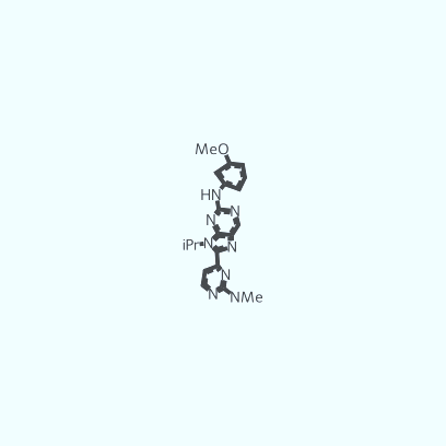 CNc1nccc(-c2nc3cnc(Nc4cccc(OC)c4)nc3n2C(C)C)n1